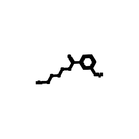 CCCCOOOOOC(=O)c1cccc(C(=O)O)c1